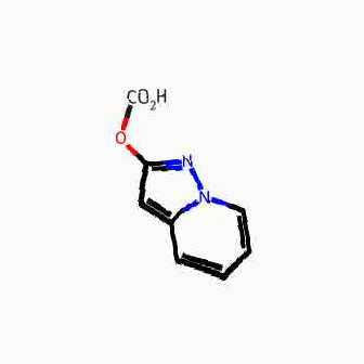 O=C(O)Oc1cc2ccccn2n1